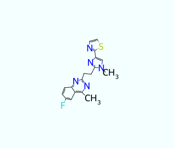 Cc1nc(CCc2nc(-c3nccs3)cn2C)nc2ccc(F)cc12